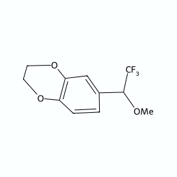 COC(c1ccc2c(c1)OCCO2)C(F)(F)F